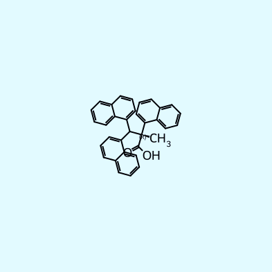 C[C@](C(=O)O)(c1cccc2ccccc12)C(c1cccc2ccccc12)c1cccc2ccccc12